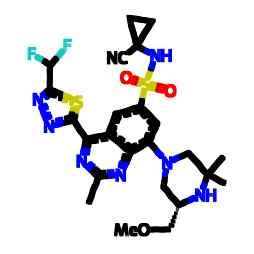 COC[C@@H]1CN(c2cc(S(=O)(=O)NC3(C#N)CC3)cc3c(-c4nnc(C(F)F)s4)nc(C)nc23)CC(C)(C)N1